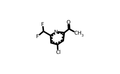 CC(=O)c1cc(Cl)cc(C(F)F)n1